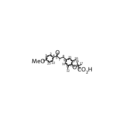 COc1ccc(C(=O)CCc2cc(C)c(OC(C)(C)C(=O)O)c(C)c2)cc1